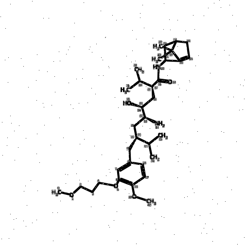 COCCCOc1cc(C[C@@H](C[C@H](N)[C@@H](O)C[C@H](C(=O)NC2CC3CC=C2C3(C)C)C(C)C)C(C)C)ccc1OC